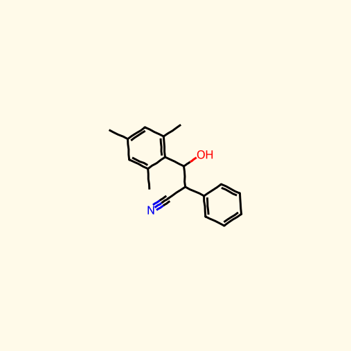 Cc1cc(C)c(C(O)C(C#N)c2ccccc2)c(C)c1